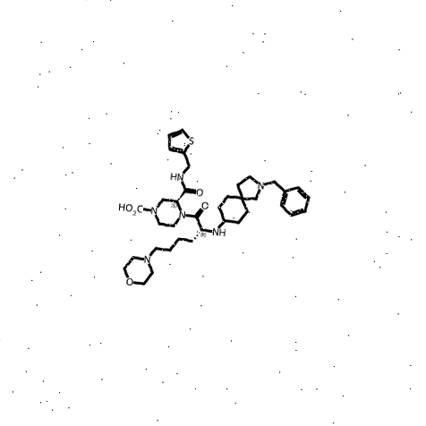 O=C(NCc1cccs1)[C@@H]1CN(C(=O)O)CCN1C(=O)[C@@H](CCCCN1CCOCC1)NC1CCC2(CC1)CCN(Cc1ccccc1)C2